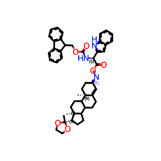 CC1([C@H]2CCC3C4CCC5=C/C(=N/OC(=O)[C@@H](NC(=O)OCC6c7ccccc7-c7ccccc76)c6cc7ccccc7[nH]6)CC[C@]5(C)C4CC[C@@]32C)OCCO1